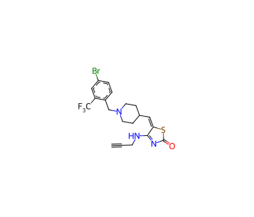 C#CCNC1=NC(=O)SC1=CC1CCN(Cc2ccc(Br)cc2C(F)(F)F)CC1